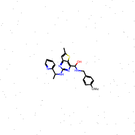 COc1ccc(CNC(O)c2nc(NC(C)c3ccccn3)nc3cc(C)sc23)cc1